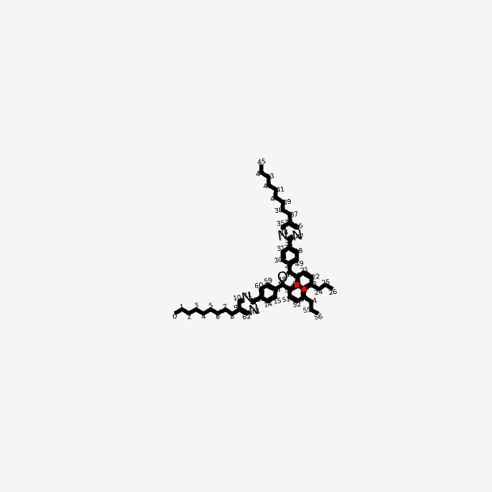 CCCCCCCCCc1cnc(-c2ccc(C(OC(c3ccc(CCC)cc3)c3ccc(-c4ncc(CCCCCCCCC)cn4)cc3)c3ccc(CCC)cc3)cc2)nc1